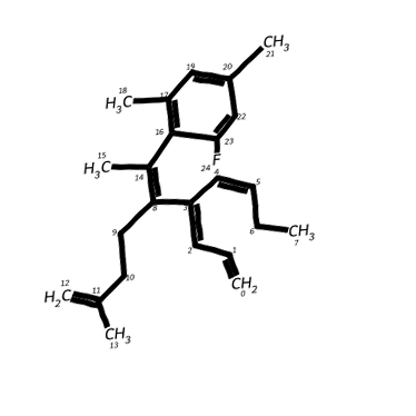 C=C/C=C(\C=C/CC)C(/CCC(=C)C)=C(/C)c1c(C)cc(C)cc1F